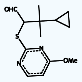 COc1ccnc(SC(C=O)C(C)(C)C2CC2)n1